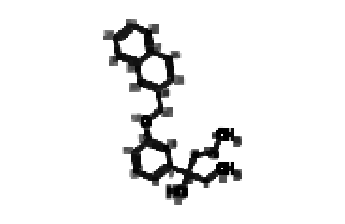 CCC(O)(CSC)c1cccc(OCc2ccc3ccccc3c2)c1